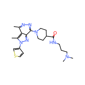 Cc1nnc(N2CCC(C(=O)NCCCN(C)C)CC2)c2nn(-c3ccsc3)c(C)c12